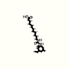 CCC1CC(C)CCC(C)(NC(=O)NCCCCCCCCCCCC(=O)O)C1